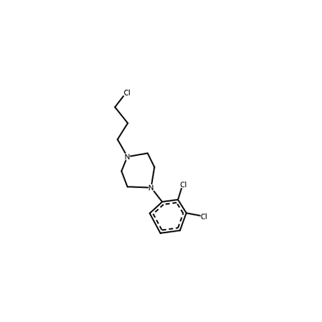 ClCCCN1CCN(c2cccc(Cl)c2Cl)CC1